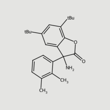 Cc1cccc(C2(N)C(=O)Oc3c(C(C)(C)C)cc(C(C)(C)C)cc32)c1C